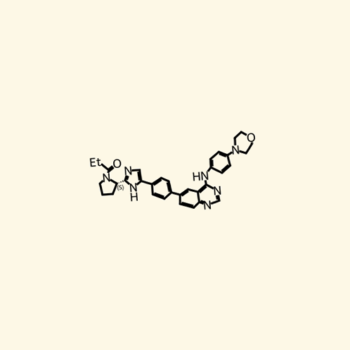 CCC(=O)N1CCC[C@H]1c1ncc(-c2ccc(-c3ccc4ncnc(Nc5ccc(N6CCOCC6)cc5)c4c3)cc2)[nH]1